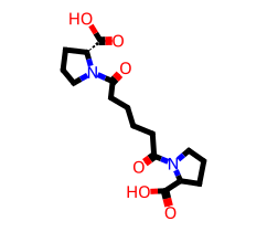 O=C(O)C1CCCN1C(=O)CCCCC(=O)N1CCC[C@@H]1C(=O)O